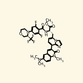 COC(=O)[C@H](Cc1ccc(-c2cc3cc(N(C)C)ccc3n(C)c2=O)c2nccn12)NC(=O)c1c(F)cc(N2CCOC[C@@H]2C(F)(F)F)cc1F